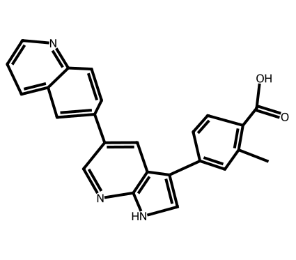 Cc1cc(-c2c[nH]c3ncc(-c4ccc5ncccc5c4)cc23)ccc1C(=O)O